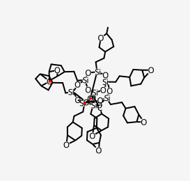 CC1CCC(CC[Si]23O[Si]4(CCC5CCC6OC6C5)O[Si]5(CCC6CCC7OC7C6)O[Si](CCC6CCC7OC7C6)(O2)O[Si]2(CCC6CCC7OC7C6)O[Si](CCC6CCC7OC7C6)(O5)O[Si](CCC5CC6CC(C5)O6)(O4)O[Si](CCC4CCC5CC4O5)(O3)O2)CO1